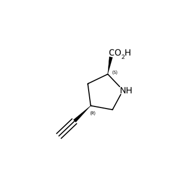 C#C[C@@H]1CN[C@H](C(=O)O)C1